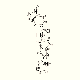 Cn1ncc2cc(C(=O)Nc3ccc4nc([C@@H]5COCCN5)cn4c3)ccc21